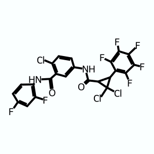 O=C(Nc1ccc(F)cc1F)c1cc(NC(=O)C2C(c3c(F)c(F)c(F)c(F)c3F)C2(Cl)Cl)ccc1Cl